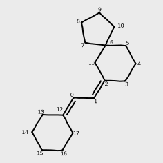 C(C=C1CCCC2(CCCC2)C1)=C1CCCCC1